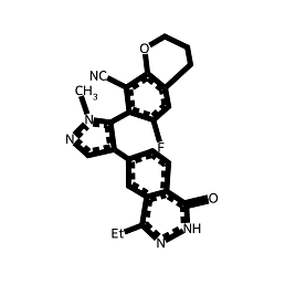 CCc1n[nH]c(=O)c2ccc(-c3cnn(C)c3-c3c(F)cc4c(c3C#N)OCCC4)cc12